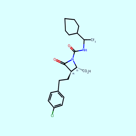 O=C(O)[C@@H]1[C@@H](CCc2ccc(Cl)cc2)C(=O)N1C(=O)NC(C1CCCCC1)C(F)(F)F